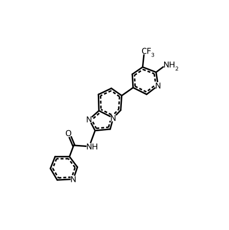 Nc1ncc(-c2ccc3nc(NC(=O)c4cccnc4)cn3c2)cc1C(F)(F)F